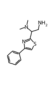 CN(C)C(CN)c1nc(-c2ccccc2)cs1